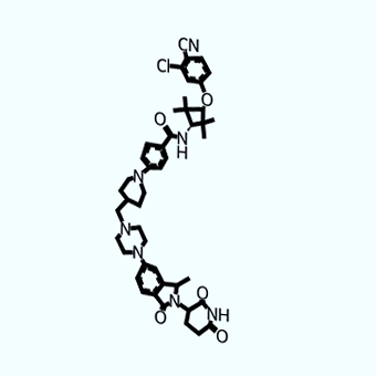 CC1c2cc(N3CCN(CC4CCN(c5ccc(C(=O)N[C@H]6C(C)(C)[C@H](Oc7ccc(C#N)c(Cl)c7)C6(C)C)cc5)CC4)CC3)ccc2C(=O)N1C1CCC(=O)NC1=O